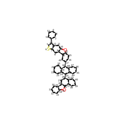 c1ccc(-c2csc3cc4c(cc23)oc2ccc(-c3c5ccccc5c(-c5cc6c7ccccc7oc6c6ccccc56)c5ccccc35)cc24)cc1